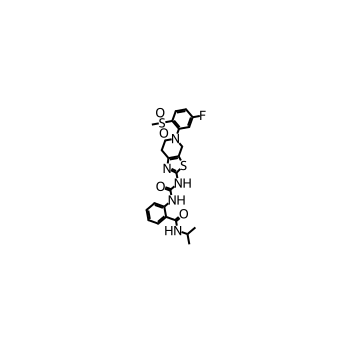 CC(C)NC(=O)c1ccccc1NC(=O)Nc1nc2c(s1)CN(c1cc(F)ccc1S(C)(=O)=O)CC2